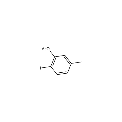 CC(=O)Oc1cc(C)ccc1I